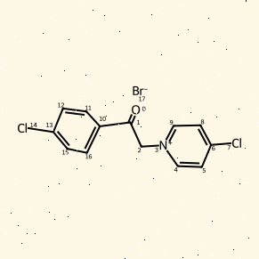 O=C(C[n+]1ccc(Cl)cc1)c1ccc(Cl)cc1.[Br-]